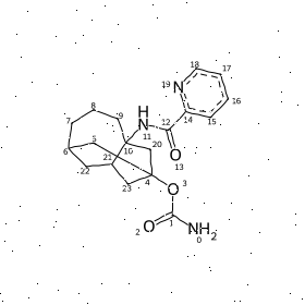 NC(=O)OC12CC3CCCC(NC(=O)c4ccccn4)(C1)C(C3)C2